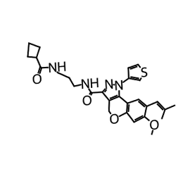 COc1cc2c(cc1C=C(C)C)-c1c(c(C(=O)NCCCNC(=O)C3CCC3)nn1-c1ccsc1)CO2